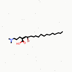 CCCCCCCCCCCCCC(Br)C=C(CCCN(C)C)C(=O)O